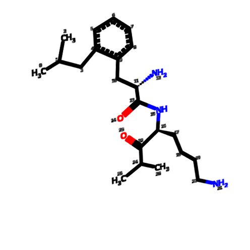 CC(C)Cc1ccccc1C[C@H](N)C(=O)N[C@@H](CCCCN)C(=O)C(C)C